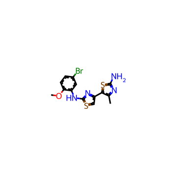 COc1ccc(Br)cc1Nc1nc(-c2sc(N)nc2C)cs1